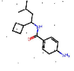 CC(C)CC(NC(=O)C1=CCC(N)C=C1)C1CCC1